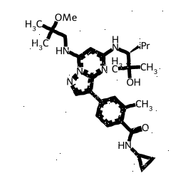 COC(C)(C)CNc1cc(N[C@@H](C(C)C)C(C)(C)O)nc2c(-c3ccc(C(=O)NC4CC4)c(C)c3)cnn12